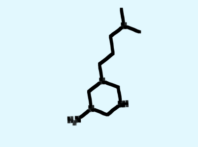 CN(C)CCCN1CNCN(N)C1